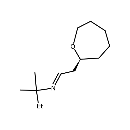 CCC(C)(C)/N=C/C[C@@H]1CCCCCO1